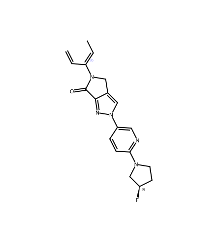 C=C/C(=C\C)N1Cc2cn(-c3ccc(N4CC[C@@H](F)C4)nc3)nc2C1=O